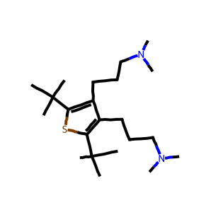 CN(C)CCCc1c(C(C)(C)C)sc(C(C)(C)C)c1CCCN(C)C